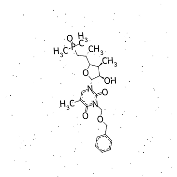 Cc1cn([C@@H]2OC([C@@H](C)CP(C)(C)=O)[C@@H](C)[C@H]2O)c(=O)n(COCc2ccccc2)c1=O